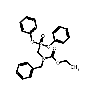 CCOC(=O)N(Cc1ccccc1)CP(=O)(Oc1ccccc1)Oc1ccccc1